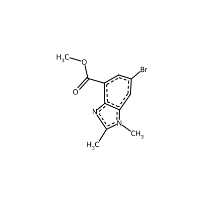 COC(=O)c1cc(Br)cc2c1nc(C)n2C